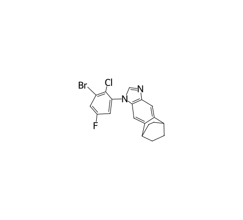 Fc1cc(Br)c(Cl)c(-n2cnc3cc4c(cc32)C2CCC4CC2)c1